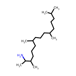 CC(C)CCCC(C)CCCC(C)CCCC(C)C(C)N